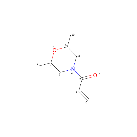 C=CC(=O)N1CC(C)OC(C)C1